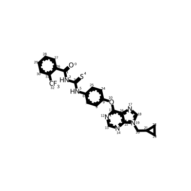 O=C(NC(=S)Nc1ccc(Oc2ncnc3c2ncn3CC2CC2)cc1)c1ccccc1C(F)(F)F